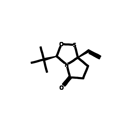 C=C[C@@]12CCC(=O)N1[C@@H](C(C)(C)C)OS2